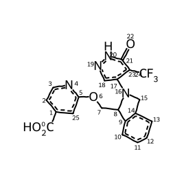 O=C(O)c1ccnc(OCC2c3ccccc3CN2c2cn[nH]c(=O)c2C(F)(F)F)c1